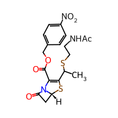 CC(=O)NCCSC(C)C1=C(C(=O)OCc2ccc([N+](=O)[O-])cc2)N2C(=O)C[C@H]2S1